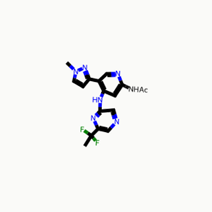 CC(=O)Nc1cc(Nc2cncc(C(C)(F)F)n2)c(-c2ccn(C)n2)cn1